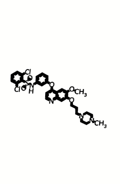 COc1cc2c(Oc3cccc(NS(=O)(=O)c4c(Cl)cccc4Cl)c3)ccnc2cc1OCCCN1CCN(C)CC1